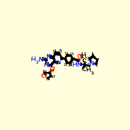 CC(C)(CN1CCCC1)NC(=O)c1ccc(-c2ccc3nc(N)nc(OC4CCOC4)c3n2)cc1